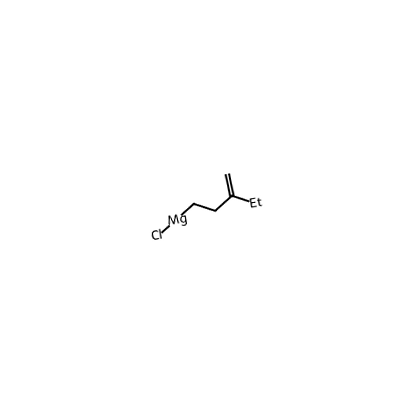 C=C(CC)C[CH2][Mg][Cl]